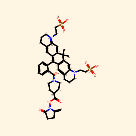 C=C1CCC(=O)N1OC(=O)C1CCN(C(=O)c2ccccc2C2=c3cc4c(cc3C(C)(C)c3cc5c(cc32)CCCN5CCS(=O)(=O)O)=[N+](CCS(=O)(=O)[O-])CCC4)CC1